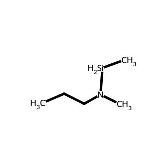 CCCN(C)[SiH2]C